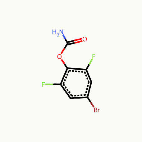 NC(=O)Oc1c(F)cc(Br)cc1F